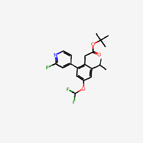 CC(C)c1cc(OC(F)F)cc(-c2ccnc(F)c2)c1CC(=O)OC(C)(C)C